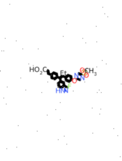 CCC(=C(c1ccc(C=CC(=O)O)cc1)c1ccc2[nH]nc(F)c2c1)c1ccc(Oc2cnc(S(C)(=O)=O)cn2)cc1